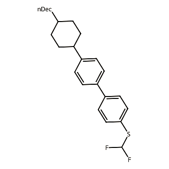 CCCCCCCCCCC1CCC(c2ccc(-c3ccc(SC(F)F)cc3)cc2)CC1